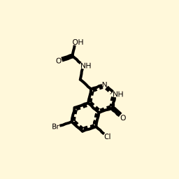 O=C(O)NCc1n[nH]c(=O)c2c(Cl)cc(Br)cc12